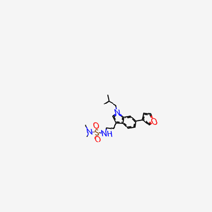 CC(C)Cn1cc(CCNS(=O)(=O)N(C)C)c2ccc(-c3ccoc3)cc21